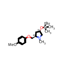 COc1ccc(OC[C@H]2C[C@H](O[Si](C)(C)C(C)(C)C)CN2C)cc1